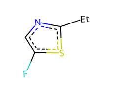 CCc1ncc(F)s1